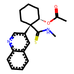 CNC(=S)[C@]1(c2cnc3ccccc3c2)CCCC[C@@H]1OC(C)=O